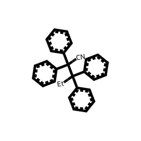 CCC(c1ccccc1)(c1ccccc1)C(C#N)(c1ccccc1)c1ccccc1